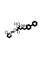 C[C@@](CO)(C[C@H](N)Cc1ccc(-c2ccccc2)cc1)C(=O)OCCN1CCCC1=O